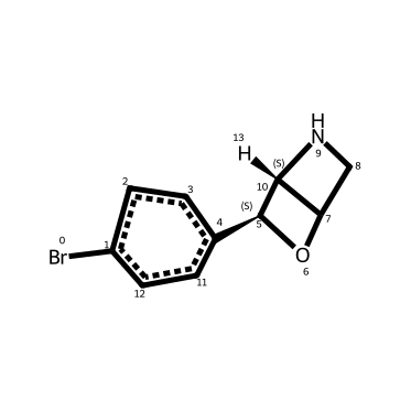 Brc1ccc([C@@H]2OC3CN[C@H]32)cc1